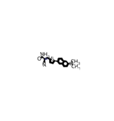 CN(C)c1ccc2cc(-c3ccc(/C=C(\C#N)C(N)=O)s3)ccc2c1